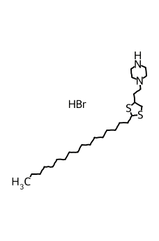 Br.CCCCCCCCCCCCCCCCCC1SCC(CCN2CCNCC2)S1